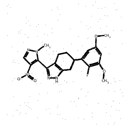 COc1cc(OC)c(F)c(C2CCc3c(-c4c([N+](=O)[O-])cnn4C)n[nH]c3C2)c1